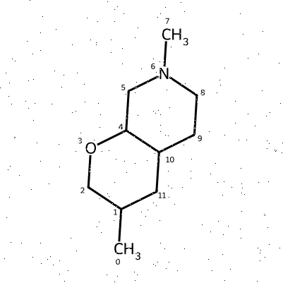 CC1COC2CN(C)CCC2C1